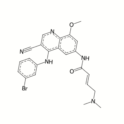 COc1cc(NC(=O)C=CCN(C)C)cc2c(Nc3cccc(Br)c3)c(C#N)cnc12